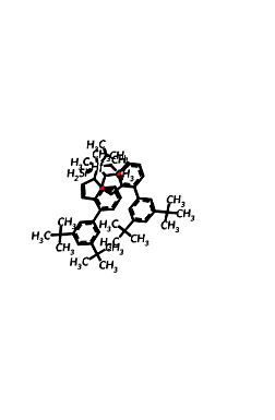 C[CH](C)[Hf]([CH3])([CH3])(=[SiH2])([CH](C)C)([CH]1C=Cc2c(-c3cc(C(C)(C)C)cc(C(C)(C)C)c3)cccc21)[CH]1C=Cc2c(-c3cc(C(C)(C)C)cc(C(C)(C)C)c3)cccc21